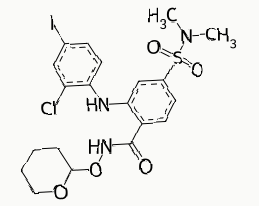 CN(C)S(=O)(=O)c1ccc(C(=O)NOC2CCCCO2)c(Nc2ccc(I)cc2Cl)c1